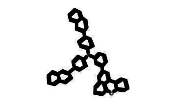 c1cc(-c2cc3c4c(cccc4c2)Oc2ccccc2-3)cc(N(c2ccc(-c3ccc4ccccc4c3)cc2)c2ccc(-c3ccc4ccccc4c3)cc2)c1